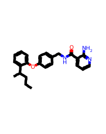 CCCC(C)c1ccccc1Oc1ccc(CNC(=O)c2cccnc2N)cc1